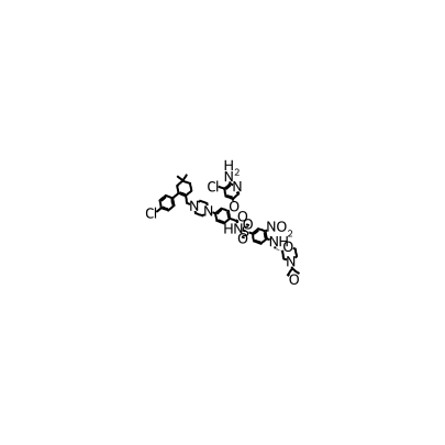 CC1(C)CCC(CN2CCN(c3ccc(C(=O)NS(=O)(=O)c4ccc(NC[C@H]5CN(C6COC6)CCO5)c([N+](=O)[O-])c4)c(Oc4cnc(N)c(Cl)c4)c3)CC2)=C(c2ccc(Cl)cc2)C1